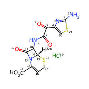 Cl.Nc1nc(C(=O)C(=O)NC2C(=O)N3C(C(=O)O)=CCS[C@@H]23)cs1